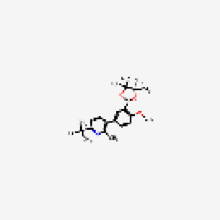 COc1ccc(-c2ccc(C(C)(C)C)nc2C)cc1B1OC(C)(C)C(C)(C)O1